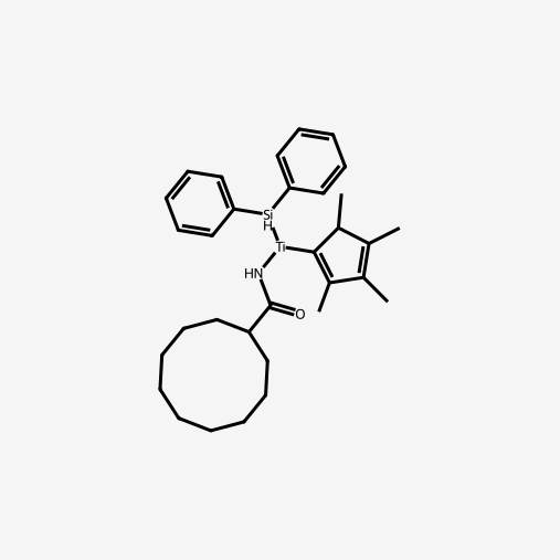 CC1=C(C)C(C)[C]([Ti]([NH]C(=O)C2CCCCCCCCC2)[SiH](c2ccccc2)c2ccccc2)=C1C